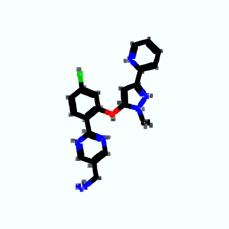 Cn1nc(-c2ccccn2)cc1Oc1cc(Cl)ccc1-c1ncc(CN)cn1